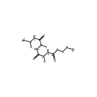 C=C(NC(C)C(C)C)C(C)NC(=C)C(C)NC(=O)CCCC(C)=O